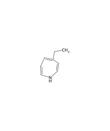 CCC1=CC=CNC=C1